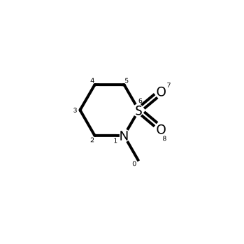 CN1CCCCS1(=O)=O